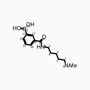 CNCCCCCNC(=O)c1cccc(B(O)O)c1